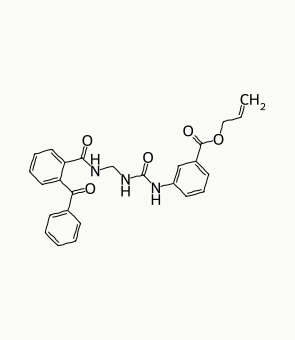 C=CCOC(=O)c1cccc(NC(=O)NCNC(=O)c2ccccc2C(=O)c2ccccc2)c1